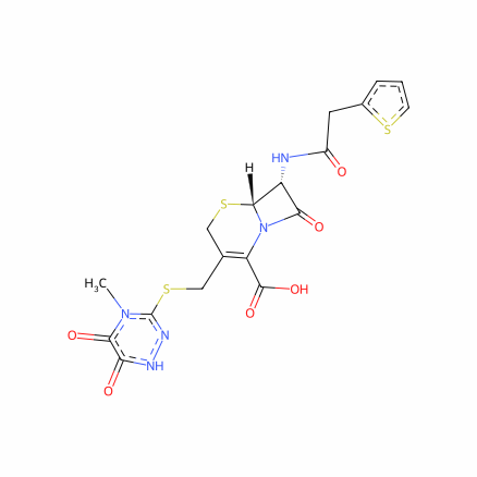 Cn1c(SCC2=C(C(=O)O)N3C(=O)[C@@H](NC(=O)Cc4cccs4)[C@H]3SC2)n[nH]c(=O)c1=O